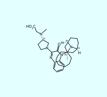 CN(CC(=O)O)[C@H]1CCN(c2nc3ccccc3n([C@@]3(C)C[C@H]4CCC[C@@H](C3)N4C3CCCCCCC3)c2=O)C1